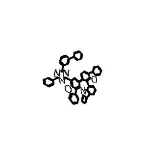 c1ccc(-c2cccc(-c3nc(-c4ccccc4)nc(-c4cc5c(c6c4oc4ccccc46)-n4c6ccccc6c6cccc(c64)-c4c-5ccc5c4oc4ccccc45)n3)c2)cc1